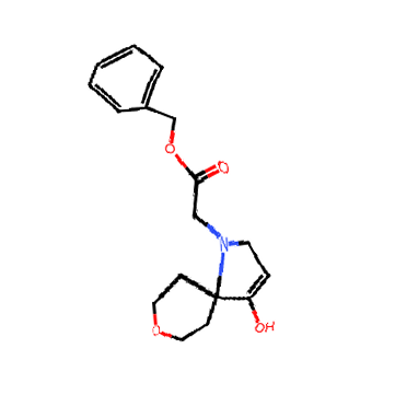 O=C(CN1CC=C(O)C12CCOCC2)OCc1ccccc1